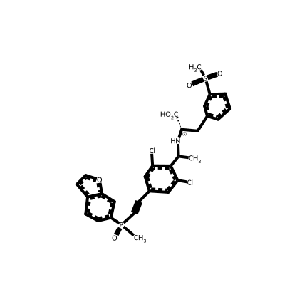 CC(N[C@@H](Cc1cccc(S(C)(=O)=O)c1)C(=O)O)c1c(Cl)cc(C#CP(C)(=O)c2ccc3ccoc3c2)cc1Cl